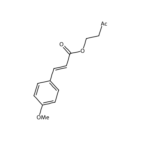 COc1ccc(/C=C/C(=O)OCCC(C)=O)cc1